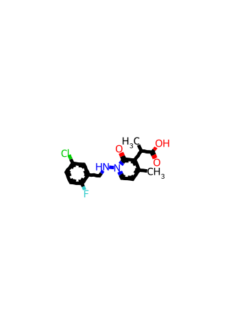 Cc1ccn(NCc2cc(Cl)ccc2F)c(=O)c1C(C)C(=O)O